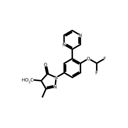 CC1=NN(c2ccc(OC(F)F)c(-c3cnccn3)c2)C(=O)C1C(=O)O